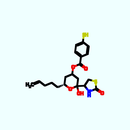 C=CCCC[C@@H]1CC(OC(=O)c2ccc(S)cc2)CC(O)(C2CSC(=O)N2)O1